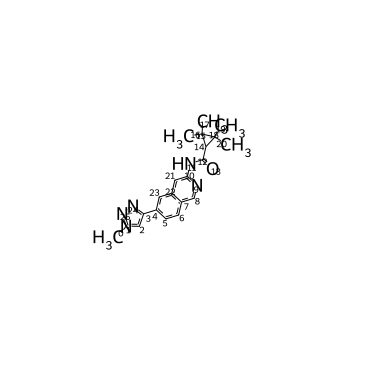 Cn1cc(-c2ccc3cnc(NC(=O)C4C(C)(C)C4(C)C)cc3c2)nn1